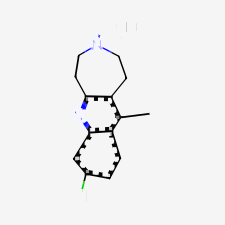 CCOC(=O)N1CCc2nc3cc(Cl)ccc3c(C)c2CC1